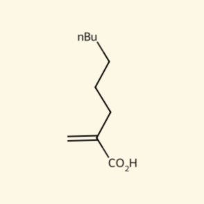 C=C(CCCCCCC)C(=O)O